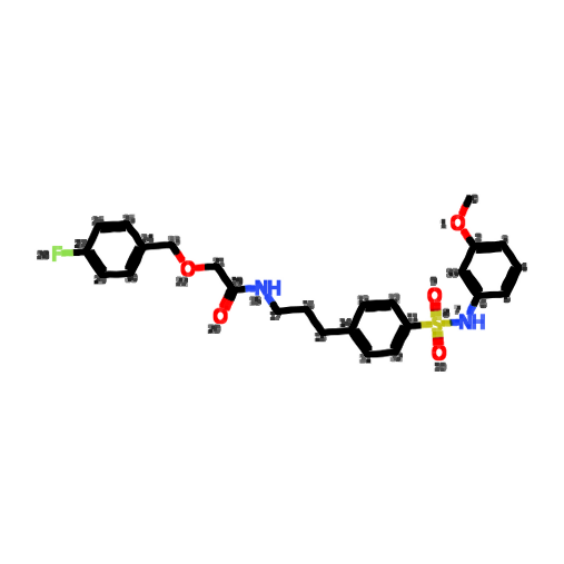 COc1cccc(NS(=O)(=O)c2ccc(CCCNC(=O)COCc3ccc(F)cc3)cc2)c1